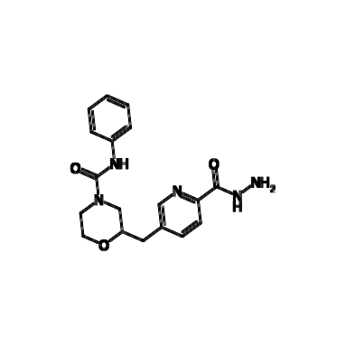 NNC(=O)c1ccc(CC2CN(C(=O)Nc3ccccc3)CCO2)cn1